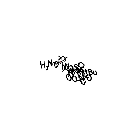 Cc1c(C2COc3ccc(-c4cccc(C(=O)OC(C)(C)C)n4)cc3N2C(=O)Nc2nc3ccccc3s2)cnn1CC12CC3(C)CC(C)(C1)CC(OCCN)(C3)C2